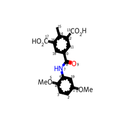 COc1ccc(OC)c(NC(=O)c2cc(C(=O)O)c(C)c(C(=O)O)c2)c1